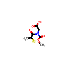 COC(=O)N(CC(=O)O)C(=O)C(C)S